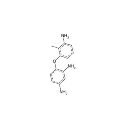 Cc1c(N)cccc1Oc1ccc(N)cc1N